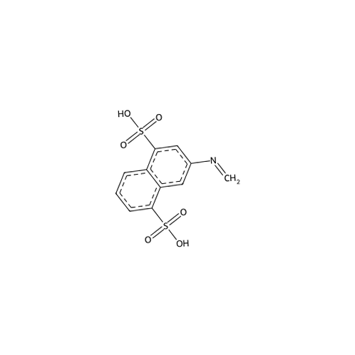 C=Nc1cc(S(=O)(=O)O)c2cccc(S(=O)(=O)O)c2c1